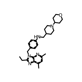 CCc1nc2c(C)cc(C)nc2n1Cc1ccc(NCC2CCN(C3CCOCC3)CC2)cc1